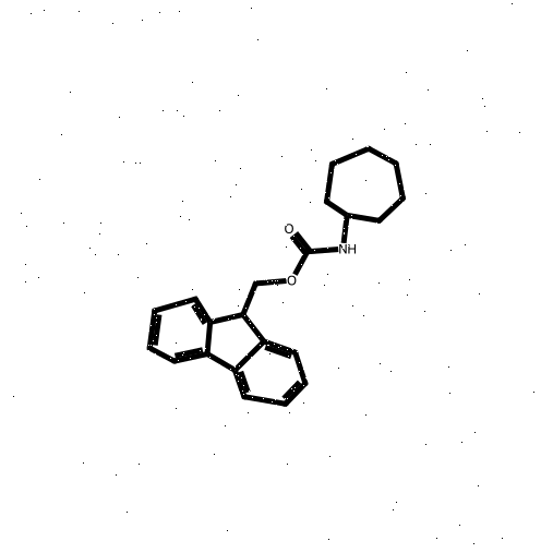 O=C(NC1CCCCCC1)OCC1c2ccccc2-c2ccccc21